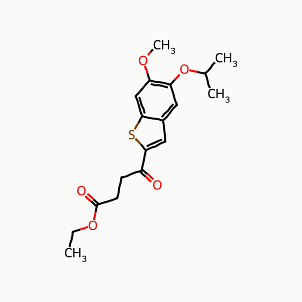 CCOC(=O)CCC(=O)c1cc2cc(OC(C)C)c(OC)cc2s1